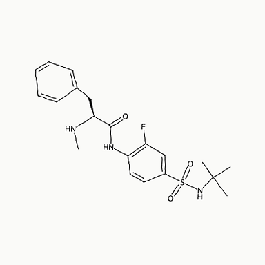 CN[C@@H](Cc1ccccc1)C(=O)Nc1ccc(S(=O)(=O)NC(C)(C)C)cc1F